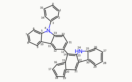 c1ccc(-n2c3ccccc3c3cc(-c4c5ccccc5cc5c4[nH]c4ccccc45)ccc32)cc1